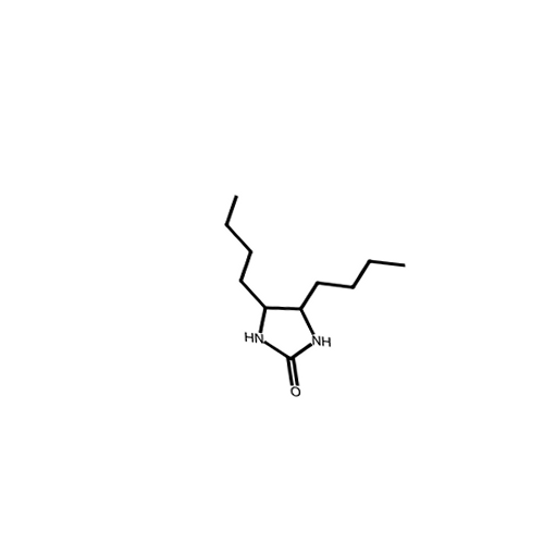 CCCCC1NC(=O)NC1CCCC